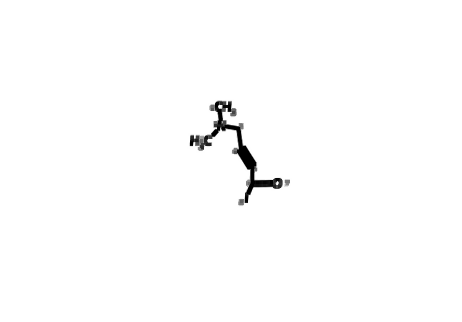 CN(C)CC#CC(=O)I